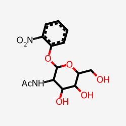 CC(=O)NC1C(Oc2ccccc2[N+](=O)[O-])OC(CO)C(O)C1O